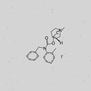 Cc1ccccc1N(Cc1ccccc1)C(=O)O[C@H]1C[N+]2(C)CCC1CC2.[I-]